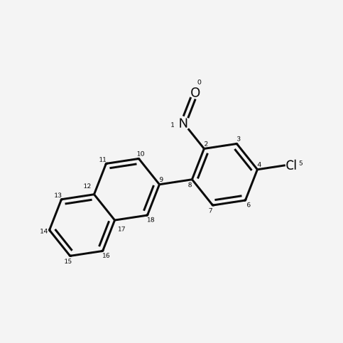 O=Nc1cc(Cl)ccc1-c1ccc2ccccc2c1